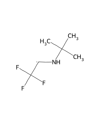 CC(C)(C)N[CH]C(F)(F)F